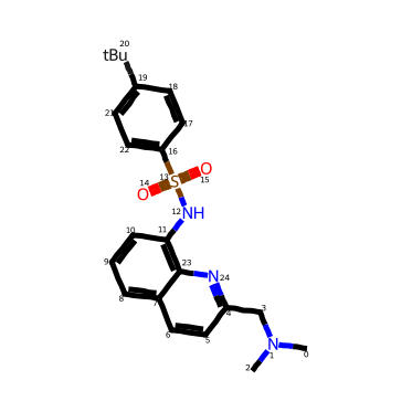 CN(C)Cc1ccc2cccc(NS(=O)(=O)c3ccc(C(C)(C)C)cc3)c2n1